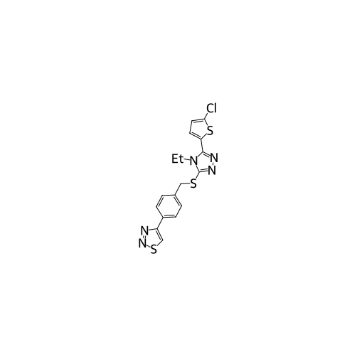 CCn1c(SCc2ccc(-c3csnn3)cc2)nnc1-c1ccc(Cl)s1